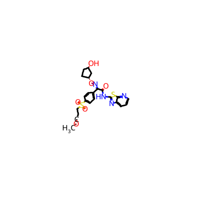 COCCCS(=O)(=O)c1ccc(/C(=N\O[C@@H]2CC[C@@H](O)C2)C(=O)Nc2nc3cccnc3s2)cc1